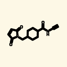 C#CNC(=O)C1CCC(CN2C(=O)C=CC2=O)CC1